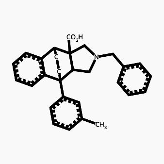 Cc1cccc(C23CCC(c4ccccc42)C2(C(=O)O)CN(Cc4ccccc4)CC32)c1